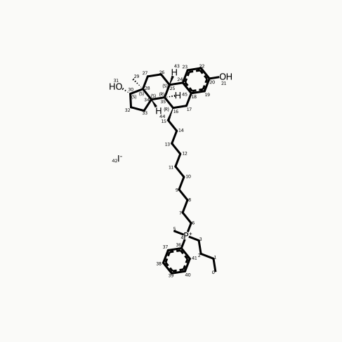 CCCC[P+](C)(CCCCCCCCCC[C@@H]1Cc2cc(O)ccc2[C@H]2CC[C@]3(C)[C@@H](O)CC[C@H]3[C@H]12)c1ccccc1.[I-]